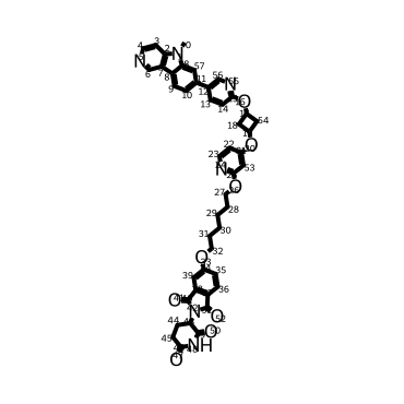 Cn1c2ccncc2c2ccc(-c3ccc(OC4CC(Oc5ccnc(OCCCCCCOc6ccc7c(c6)C(=O)N(C6CCC(=O)NC6=O)C7=O)c5)C4)nc3)cc21